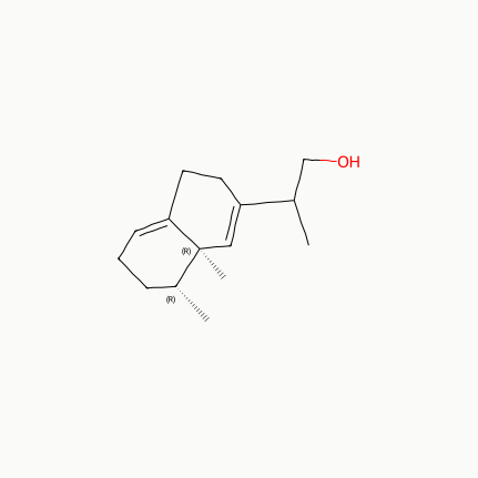 CC(CO)C1=C[C@]2(C)C(=CCC[C@H]2C)CC1